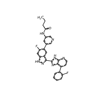 CCCC(=O)Nc1cncc(-c2cc3c(-c4nc5c(-c6ccccc6F)ccnc5[nH]4)n[nH]c3cc2F)c1